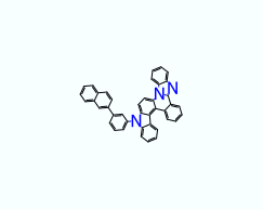 c1cc(-c2ccc3ccccc3c2)cc(-n2c3ccccc3c3c4c5ccccc5c5nc6ccccc6n5c4ccc32)c1